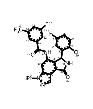 CC(C)n1ncc2c3c(c(NC(=O)c4cc(F)cc(C(F)(F)F)c4)cc21)C(c1cc(F)ccc1Cl)NC3=O